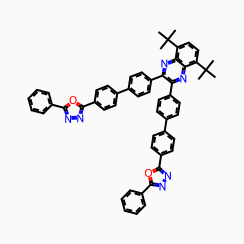 CC(C)(C)c1ccc(C(C)(C)C)c2nc(-c3ccc(-c4ccc(-c5nnc(-c6ccccc6)o5)cc4)cc3)c(-c3ccc(-c4ccc(-c5nnc(-c6ccccc6)o5)cc4)cc3)nc12